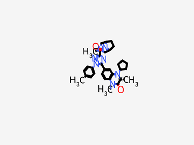 Cc1ccc(-n2nc(C(=O)N3C4CCC3CN(C)C4)nc2-c2ccc3c(c2)N(C2CCCC2)[C@H](C)C(=O)N3C)cc1